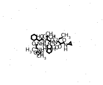 CCC[C@H](NC(=O)[C@@H]1[C@H]2CCC[C@H]2CN1C(=O)[C@@H](NC(=O)C(NC(=O)[C@@H](C)NS(C)(=O)=O)C1CCCCC1)C(C)(C)C)C(=O)C(=O)NC1CC1